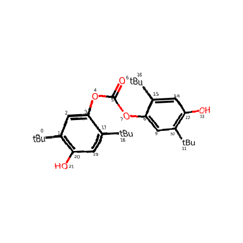 CC(C)(C)c1cc(OC(=O)Oc2cc(C(C)(C)C)c(O)cc2C(C)(C)C)c(C(C)(C)C)cc1O